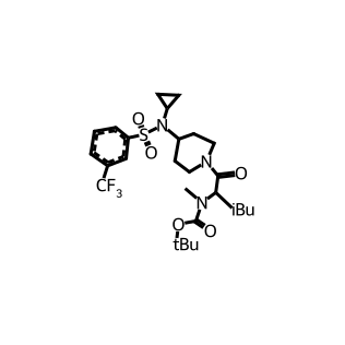 CCC(C)C(C(=O)N1CCC(N(C2CC2)S(=O)(=O)c2cccc(C(F)(F)F)c2)CC1)N(C)C(=O)OC(C)(C)C